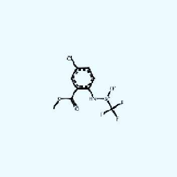 COC(=O)c1cc(Cl)ccc1N[S+]([O-])C(F)(F)F